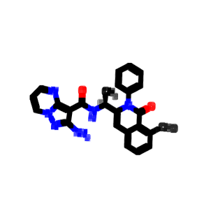 C[C@H](NC(=O)c1c(N)nn2cccnc12)c1cc2cccc(C=O)c2c(=O)n1-c1ccccc1